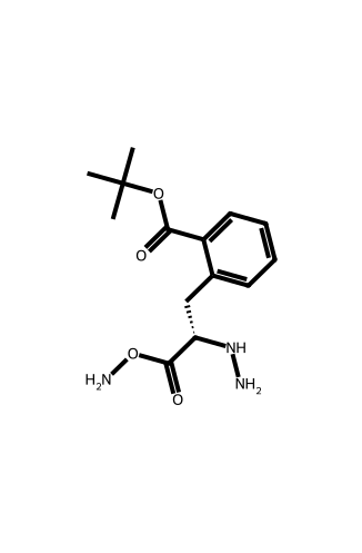 CC(C)(C)OC(=O)c1ccccc1C[C@H](NN)C(=O)ON